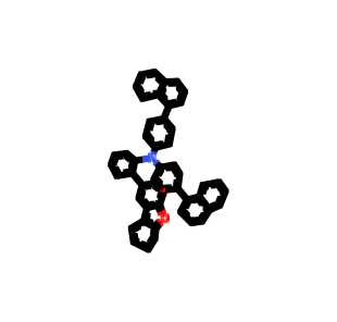 c1ccc(N(c2ccc(-c3cccc4ccccc34)cc2)c2ccc(-c3cccc4ccccc34)cc2)c(-c2ccc3oc4ccccc4c3c2)c1